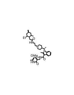 C=C1CC(C)C(CC(=O)NCCN2CCC([C@@H](C)n3c(C)c(C(=O)NCc4c(OC)cc(C)[nH]c4=O)c4ccccc43)CC2)C(CC)C1